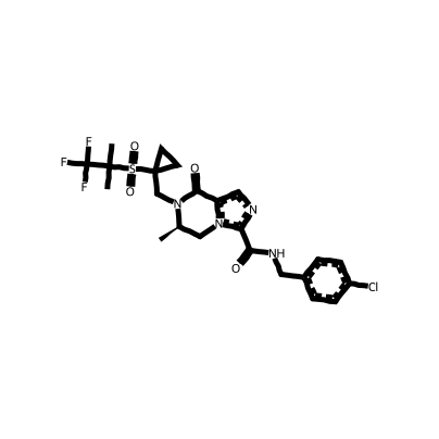 C[C@@H]1Cn2c(cnc2C(=O)NCc2ccc(Cl)cc2)C(=O)N1CC1(S(=O)(=O)C(C)(C)C(F)(F)F)CC1